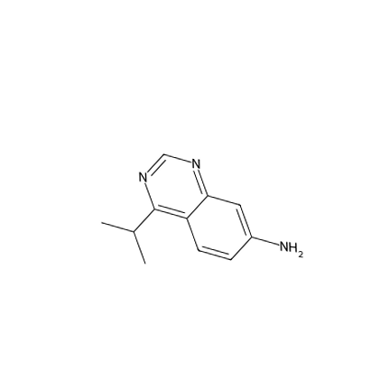 CC(C)c1ncnc2cc(N)ccc12